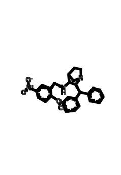 COc1ccc([N+](=O)[O-])cc1CNC1C2CCN(C2)C1C(c1ccccc1)c1ccccc1